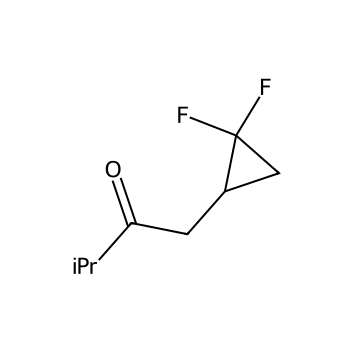 CC(C)C(=O)CC1CC1(F)F